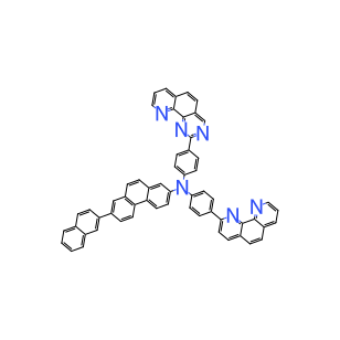 c1ccc2cc(-c3ccc4c(ccc5cc(N(c6ccc(-c7ccc8ccc9cccnc9c8n7)cc6)c6ccc(-c7ncc8ccc9cccnc9c8n7)cc6)ccc54)c3)ccc2c1